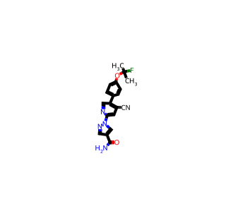 CC(C)(F)Oc1ccc(-c2cnc(-n3cc(C(N)=O)cn3)cc2C#N)cc1